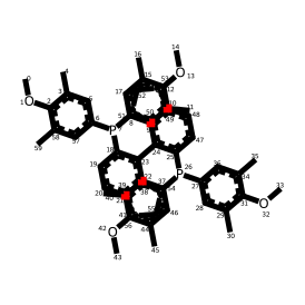 COc1c(C)cc(P(c2cc(C)c(OC)c(C)c2)c2ccc3c(c2-c2c(P(c4cc(C)c(OC)c(C)c4)c4cc(C)c(OC)c(C)c4)ccc4c2OCO4)OCO3)cc1C